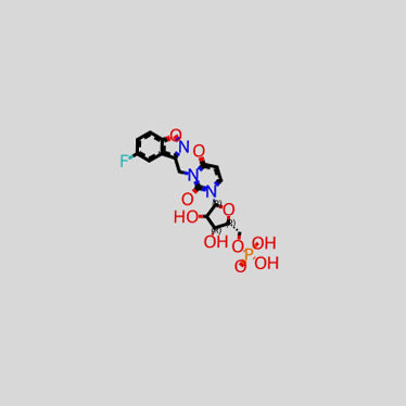 O=c1ccn([C@@H]2O[C@H](COP(=O)(O)O)[C@H](O)C2O)c(=O)n1Cc1noc2ccc(F)cc12